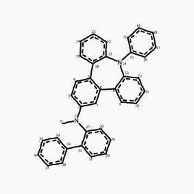 CN(c1ccc2c(c1)-c1ccccc1N(c1ccccc1)c1ccccc1-2)c1ccccc1-c1ccccc1